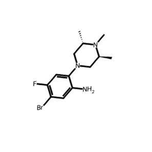 C[C@H]1CN(c2cc(F)c(Br)cc2N)C[C@H](C)N1C